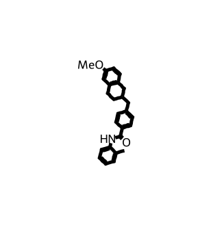 COc1ccc2c(c1)CCC(Cc1ccc(C(=O)Nc3ccccc3C)cc1)C2